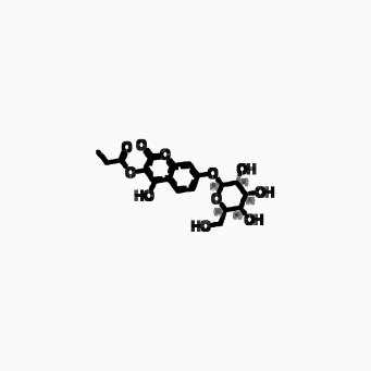 CCC(=O)Oc1c(O)c2ccc(O[C@@H]3O[C@H](CO)[C@H](O)[C@H](O)[C@H]3O)cc2oc1=O